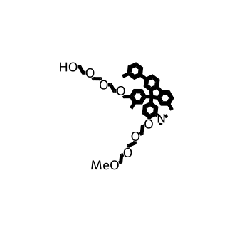 COCCOCCOCCOc1ccc(C2(c3ccc(COCCOCCOCCO)c(C)c3)c3cc(C)ccc3-c3ccc(-c4cccc(C)c4)cc32)cc1N(C)C